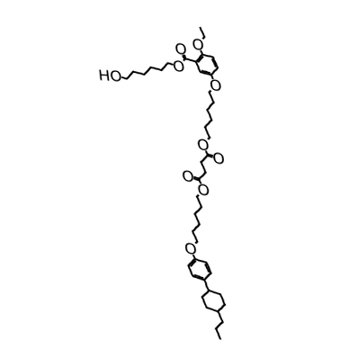 CCCC1CCC(c2ccc(OCCCCCCOC(=O)CCC(=O)OCCCCCCOc3ccc(OCC)c(C(=O)OCCCCCCO)c3)cc2)CC1